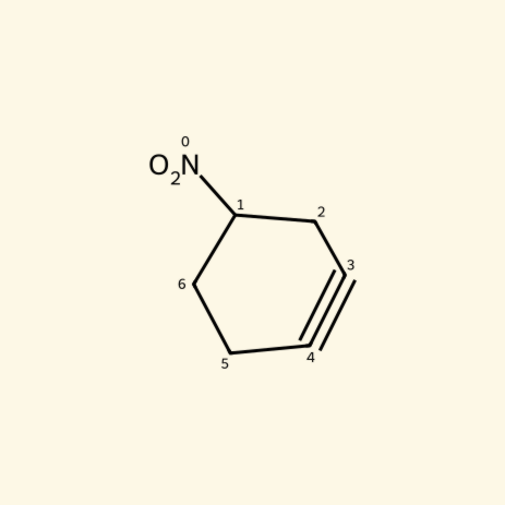 O=[N+]([O-])C1CC#CCC1